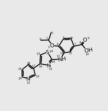 CC(C)Oc1ccc(C(=O)O)cc1Nc1nc(-c2cccnc2)cs1